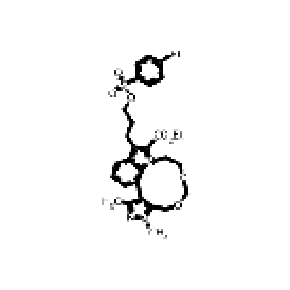 CCOC(=O)c1c(CCCOS(=O)(=O)c2ccc(CC)cc2)c2cccc3c2n1CCCCOCc1c-3c(C)nn1C